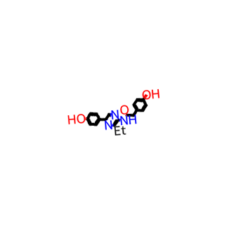 CCc1nc(-c2ccc(O)cc2)cnc1NC(=O)Cc1ccc(O)cc1